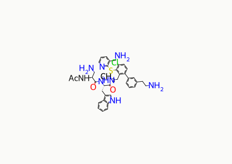 CC(=O)N[C@@H](CN)C(=O)N(C)[C@@H](Cc1c[nH]c2ccccc12)C(=O)NCc1c(-c2cccc(CCN)c2)ccc(Cl)c1Sc1ncccc1CN